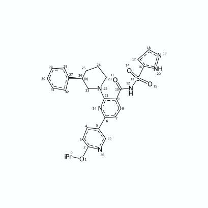 CC(C)Oc1ccc(-c2ccc(C(=O)NS(=O)(=O)c3ccn[nH]3)c(N3CCC[C@H](c4ccccc4)C3)n2)cn1